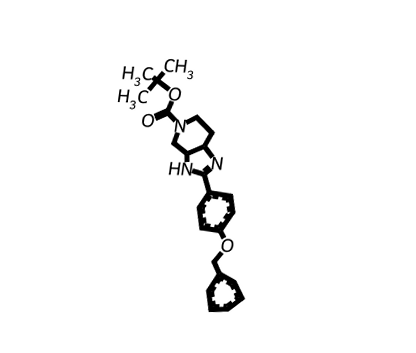 CC(C)(C)OC(=O)N1CCC2N=C(c3ccc(OCc4ccccc4)cc3)NC2C1